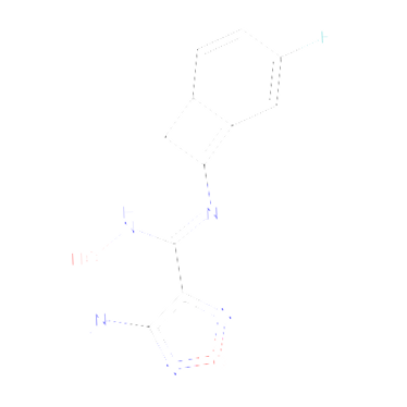 Nc1nonc1C(=NC1=C2C=C(F)C=CC2C1)NO